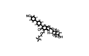 C[Si](C)(C)CCOCc1c(Cl)c(-c2ccc(-c3ccc(C#N)cc3)cc2)nc2nc(O[C@@H]3CO[C@H]4[C@@H]3OC[C@H]4O)[nH]c12